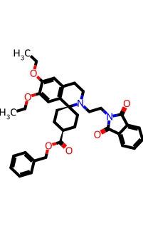 CCOc1cc2c(cc1OCC)[C@]1(CC[C@H](C(=O)OCc3ccccc3)CC1)N(CCN1C(=O)c3ccccc3C1=O)CC2